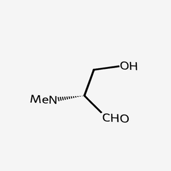 CN[C@@H](C=O)CO